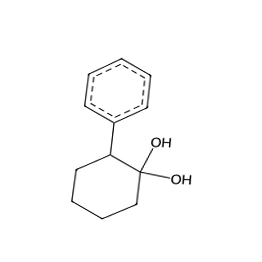 OC1(O)CCCCC1c1ccccc1